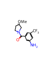 CO[C@H]1CCN(C(=O)c2cc(N)cc(C(F)(F)F)c2)C1